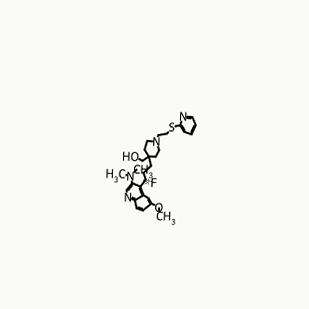 COc1ccc2ncc(N(C)C)c([C@@H](F)CCC3(CO)CCN(CCSc4ccccn4)CC3)c2c1